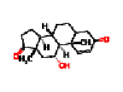 C[C@]12C=CC(=O)CC1CC[C@@H]1[C@@H]2[C@H](O)C[C@]2(C)C(=O)CC[C@@H]12